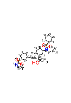 CCCN(C)S(=O)(=O)c1cccc(C#CC(O)(c2cc(N(CC3CC3)S(=O)(=O)c3ccccc3)ccc2C)C(F)(F)F)c1